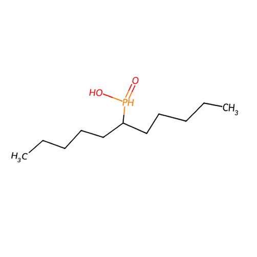 CCCCCC(CCCCC)[PH](=O)O